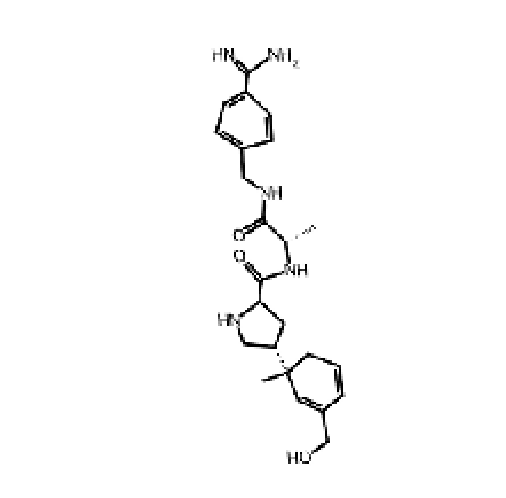 C[C@H](NC(=O)[C@H]1C[C@H](C2(C)C=C(CO)C=CC2)CN1)C(=O)NCc1ccc(C(=N)N)cc1